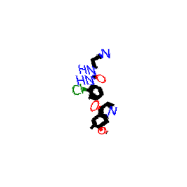 COc1cc2nccc(Oc3ccc(NC(=O)NCCC#N)c(Cl)c3)c2cc1C